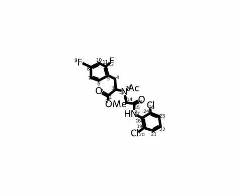 COC(=O)C(Cc1ccc(F)cc1F)N(CC(=O)Nc1c(Cl)cccc1Cl)C(C)=O